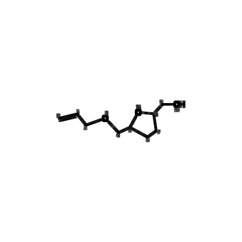 C=CCOCC1CCC(CO)O1